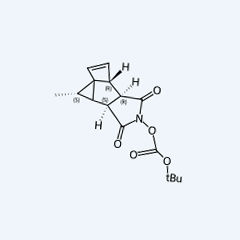 C[C@H]1C2[C@@H]3C(=O)N(OC(=O)OC(C)(C)C)C(=O)[C@@H]3[C@H]3C=CC231